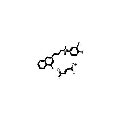 Cc1cc(CCC[N+](C)(C)c2ccc(F)c(F)c2)cc2ccccc12.O=C([O-])C=CC(=O)O